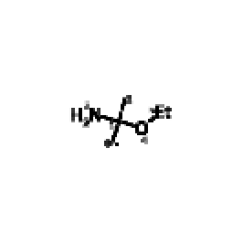 [CH2]C(C)(N)OCC